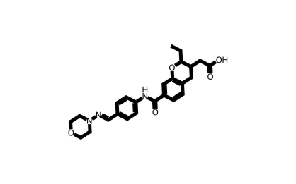 CCC1Oc2cc(C(=O)Nc3ccc(C=NN4CCOCC4)cc3)ccc2CC1CC(=O)O